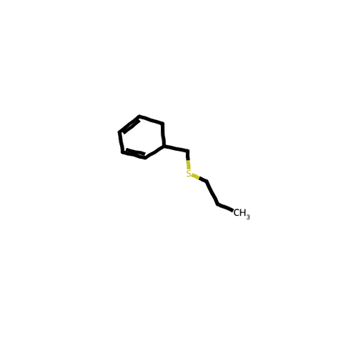 CCCSCC1C=CC=CC1